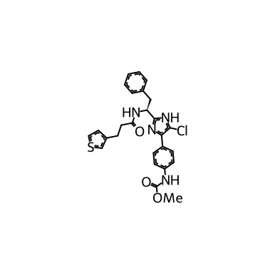 COC(=O)Nc1ccc(-c2nc([C@H](Cc3ccccc3)NC(=O)CCc3ccsc3)[nH]c2Cl)cc1